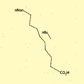 CCCCC.CCCCCCCCCCCCCCCCCC(=O)O